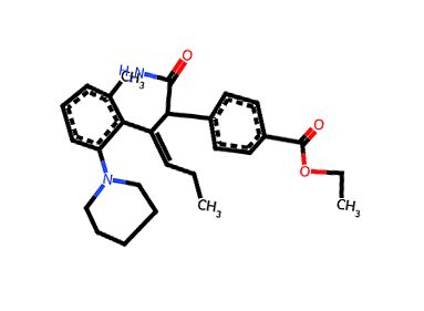 CCC=C(c1c(C)cccc1N1CCCCC1)C(C(N)=O)c1ccc(C(=O)OCC)cc1